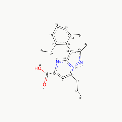 CCCc1cc(C(=O)O)nc2c(-c3c(C)cccc3CC)c(C)nn12